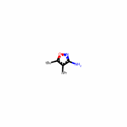 CCCc1c(N)noc1C(C)(C)C